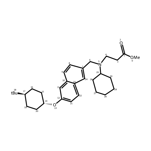 COC(=O)CCN(Cc1ccc2cc(O[C@H]3CC[C@H](C(C)(C)C)CC3)ccc2c1)C1CCCCC1